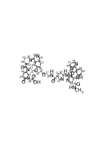 CNC(=O)c1cnc(Nc2ccc(C(=O)NCCOCCOCCN(C(=O)[C@H]3CCCN(c4cncc5ccccc45)C3)c3ccc(=O)n(CC(=O)O)c3)cn2)cc1Nc1cccc(-c2ncccn2)c1OC